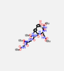 Cc1ccc2cc1C[C@@H](C(=O)NC[C@H](NC(=O)OC(C)(C)C)C(=O)NCCC[C@H](NC(=O)OC(C)(C)C)C(=O)NCCNC(=O)OC(C)(C)C)NC(=O)[C@H](CCCNC(=O)OC(C)(C)C)NC(=O)[C@@H](NC(=O)OC(C)(C)C)Cc1cc-2ccc1O